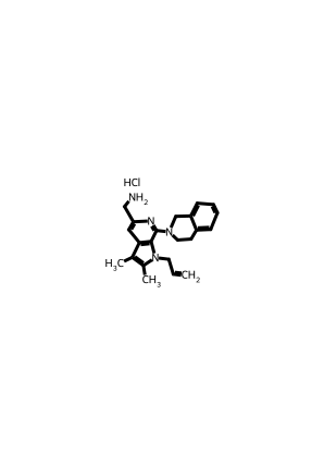 C=CCn1c(C)c(C)c2cc(CN)nc(N3CCc4ccccc4C3)c21.Cl